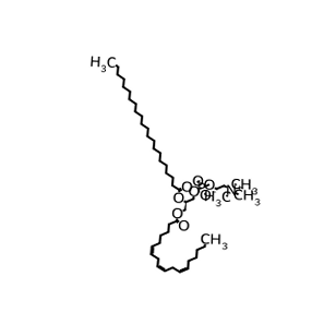 CCCCC/C=C\C/C=C\C/C=C\CCCCC(=O)OC[C@H](COP(=O)([O-])OCC[N+](C)(C)C)OC(=O)CCCCCCCCCCCCCCCCCCCCC